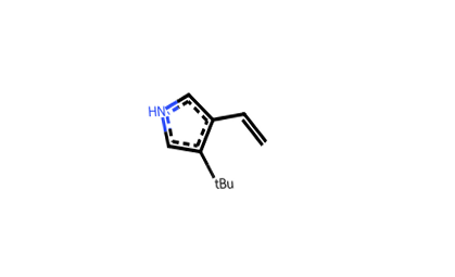 C=Cc1c[nH]cc1C(C)(C)C